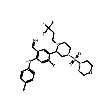 N=Cc1cc(C2CN(S(=O)(=O)N3CCOCC3)CCN2CCC(F)(F)F)c(Cl)cc1Nc1ccc(F)cc1